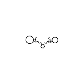 O=C(NCCSC1CCCCC1SCCNC(=O)C1CCCCCCCCC1)C1CCCCCCCCCCCC1